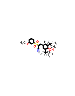 COc1cccc(S(=O)(=O)C(C#N)=Cc2cc(C(C)(C)C)c(O)c(C(C)(C)C)c2)c1